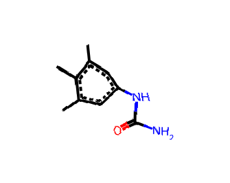 Cc1cc(NC(N)=O)cc(C)c1C